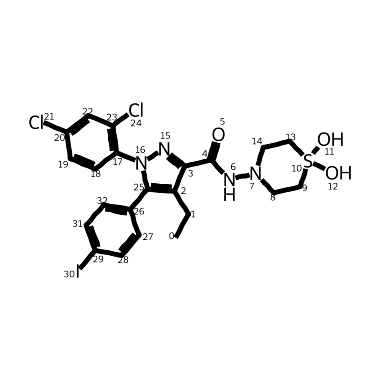 CCc1c(C(=O)NN2CCS(O)(O)CC2)nn(-c2ccc(Cl)cc2Cl)c1-c1ccc(I)cc1